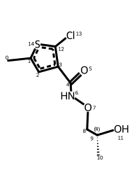 Cc1cc(C(=O)NOC[C@@H](C)O)c(Cl)s1